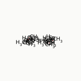 COC(=O)N(C)CC1(C(=O)N[C@H](c2nc(-c3ccc(-c4ccc(-c5c[nH]c([C@@H](NC(O)C6(CN(C)C(=O)OC)CC6)C(C)(C)C)n5)cc4)cc3)c[nH]2)C(C)(C)C)CC1